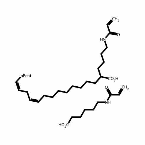 C=CC(=O)NCCCCC(CCCCCCCC/C=C\C/C=C\CCCCC)C(=O)O.C=CC(=O)NCCCCCC(=O)O